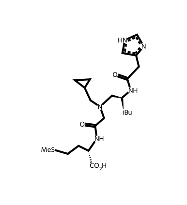 CC[C@H](C)[C@@H](CN(CC(=O)N[C@@H](CCSC)C(=O)O)CC1CC1)NC(=O)Cc1c[nH]cn1